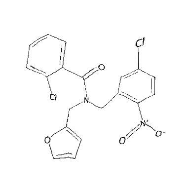 O=C(c1ccccc1Cl)N(Cc1ccco1)Cc1cc(Cl)ccc1[N+](=O)[O-]